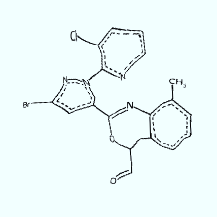 Cc1cccc2c1N=C(c1cc(Br)nn1-c1ncccc1Cl)OC2C=O